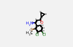 CSc1c(/C(N)=C\C(=O)C2CC2)ccc(Cl)c1Cl